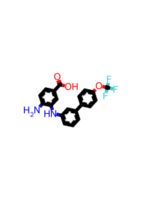 Nc1ccc(C(=O)O)cc1Nc1cccc(-c2ccc(OC(F)(F)F)cc2)c1